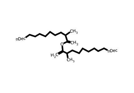 C=C(OC(=C)C(C)CCCCCCCCCCCCCCCCC)C(C)CCCCCCCCCCCCCCCCC